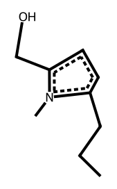 CCCc1ccc(CO)n1C